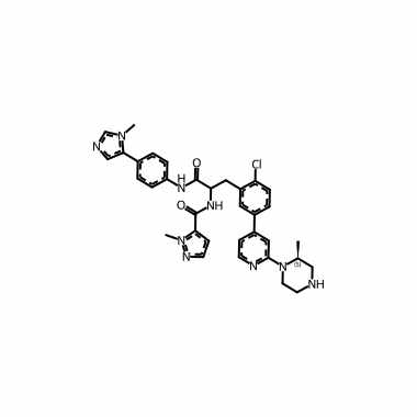 C[C@H]1CNCCN1c1cc(-c2ccc(Cl)c(CC(NC(=O)c3ccnn3C)C(=O)Nc3ccc(-c4cncn4C)cc3)c2)ccn1